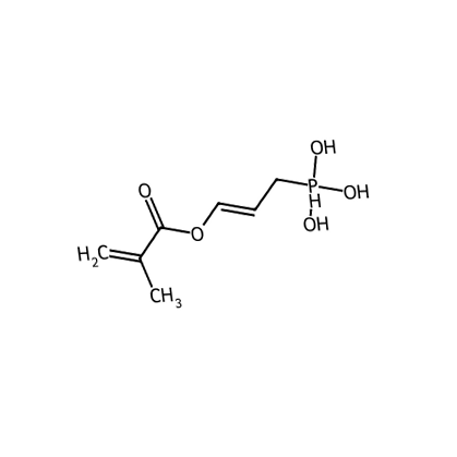 C=C(C)C(=O)OC=CC[PH](O)(O)O